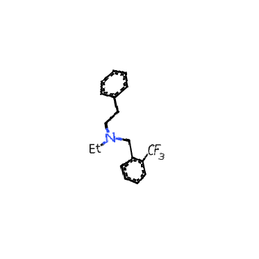 CCN(CCc1ccccc1)Cc1ccccc1C(F)(F)F